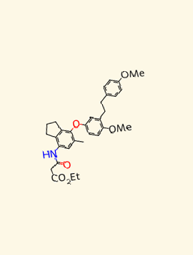 CCOC(=O)CC(=O)Nc1cc(C)c(Oc2ccc(OC)c(CCc3ccc(OC)cc3)c2)c2c1CCC2